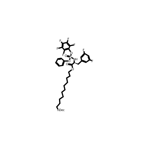 CCCCCCCCCCCCCCCCCCCCCOC(=O)[C@H](Cc1cc(F)cc(F)c1)NP(=O)(Oc1ccccc1)Oc1c(F)c(F)c(F)c(F)c1F